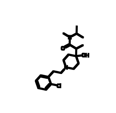 CC(C)N(C)C(=O)C(C)C1(O)CCN(CCc2ccccc2Cl)CC1